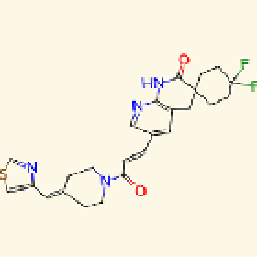 O=C(C=Cc1cnc2c(c1)CC1(CCC(F)(F)CC1)C(=O)N2)N1CCC(=Cc2cscn2)CC1